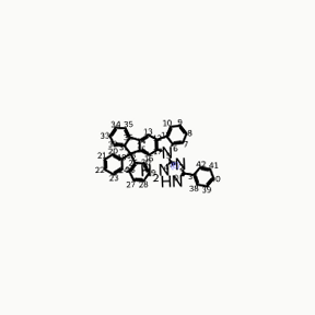 N=C(/N=C(\N)n1c2ccccc2c2cc3c(cc21)C(c1ccccc1)(c1ccccc1)c1ccccc1-3)c1ccccc1